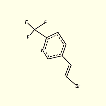 FC(F)(F)c1ccc(C=CBr)cn1